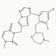 CN1CCOC(Cc2c(F)cc(Cl)cc2-c2ncnn3cc(Cn4c(=O)ccn(C)c4=O)cc23)C1